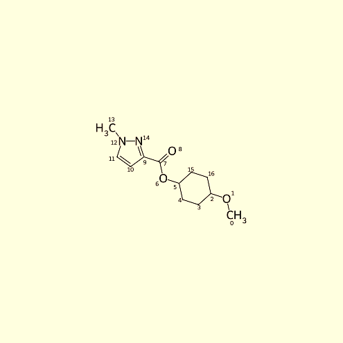 COC1CCC(OC(=O)c2ccn(C)n2)CC1